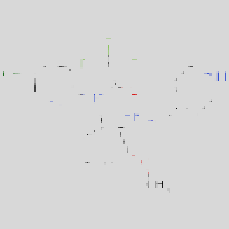 COc1cccc(N(C(=O)C(F)(F)F)c2ccc(Cl)cn2)c1NC(=O)C1CCNCC1